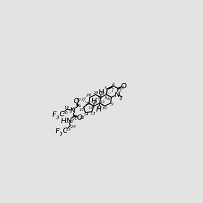 CN1C(=O)C=C[C@@]2(C)C1CC[C@@H]1[C@@H]3CC[C@H](C(=O)N(CC(F)(F)F)C(=O)NCC(F)(F)F)[C@@]3(C)CC[C@@H]12